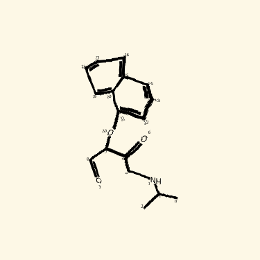 CC(C)NCC(=O)C(C=O)Oc1cccc2ccccc12